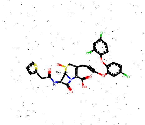 O=C(Cc1cccs1)NC1C(=O)N2C(C(=O)O)=C(CC#COc3cc(Cl)ccc3Oc3ccc(Cl)cc3Cl)C[S+]([O-])[C@H]12